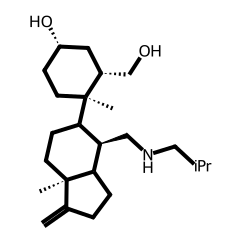 C=C1CCC2[C@H](CNCC(C)C)C([C@@]3(C)CC[C@H](O)C[C@@H]3CO)CC[C@]12C